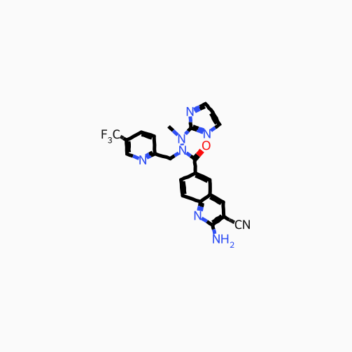 CN(c1ncccn1)N(Cc1ccc(C(F)(F)F)cn1)C(=O)c1ccc2nc(N)c(C#N)cc2c1